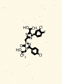 CC(O)c1nc(Cn2nc(-c3ccc(Cl)cc3)n(C[C@H](O)C(F)(F)F)c2=O)nn1-c1ccc(F)c(Cl)c1